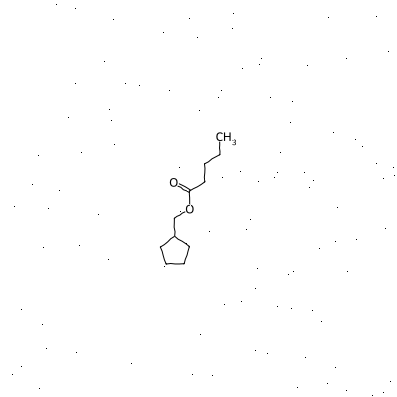 CCCCC(=O)OCC1CCCC1